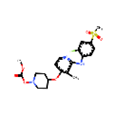 Cc1c(OC2CCN(OC(=O)OC(C)C)CC2)ccnc1Nc1ccc(S(C)(=O)=O)cc1F